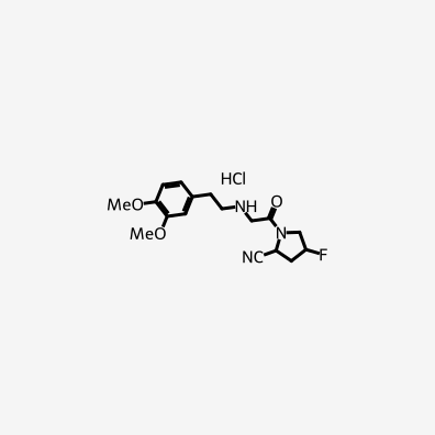 COc1ccc(CCNCC(=O)N2CC(F)CC2C#N)cc1OC.Cl